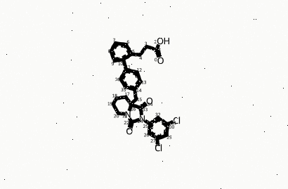 O=C(O)CCc1ccccc1-c1ccc(CC23CCCCN2C(=O)N(c2cc(Cl)cc(Cl)c2)C3=O)cc1